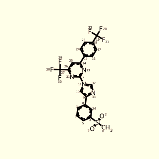 CS(=O)(=O)c1cccc(-c2cn(-c3nc(-c4ccc(C(F)(F)F)cc4)cc(C(F)(F)F)n3)cn2)c1